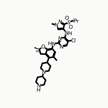 Cc1cc(Nc2ncc(Cl)c(Nc3cn(C)nc3S(=O)(=O)C(C)C)n2)c2c(c1C1CCN(C3CCNCC3)CC1)C[C@@H](C)O2